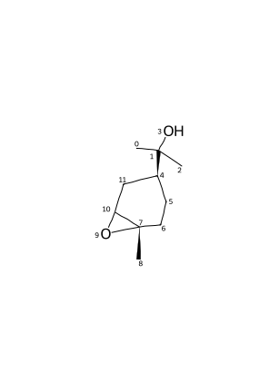 CC(C)(O)[C@H]1CC[C@]2(C)OC2C1